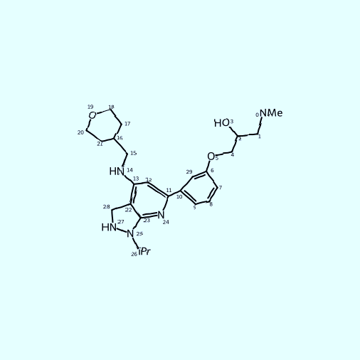 CNCC(O)COc1cccc(-c2cc(NCC3CCOCC3)c3c(n2)N(C(C)C)NC3)c1